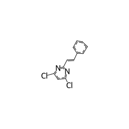 Clc1cc(Cl)nc(C=Cc2ccccc2)n1